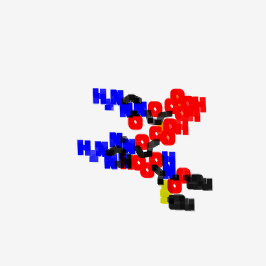 CC(C)(C)OC(=O)N[C@@H](CSSC(C)(C)C)C(=O)O[C@@H]1C(COP(=O)(O)[C@H]2C[C@H](n3ccc(N)nc3=O)OC2COP(=O)(O)O)O[C@@H](n2cnc3c(N)ncnc32)[C@@H]1O